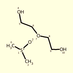 C[S+](C)[O-].OCCOCCO